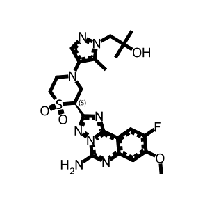 COc1cc2nc(N)n3nc([C@@H]4CN(c5cnn(CC(C)(C)O)c5C)CCS4(=O)=O)nc3c2cc1F